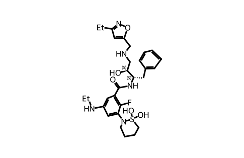 CCNc1cc(C(=O)N[C@@H](Cc2ccccc2)[C@@H](O)CNCc2cc(CC)no2)c(F)c(N2CCCCS2(O)O)c1